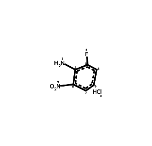 Cl.Nc1c(F)cccc1[N+](=O)[O-]